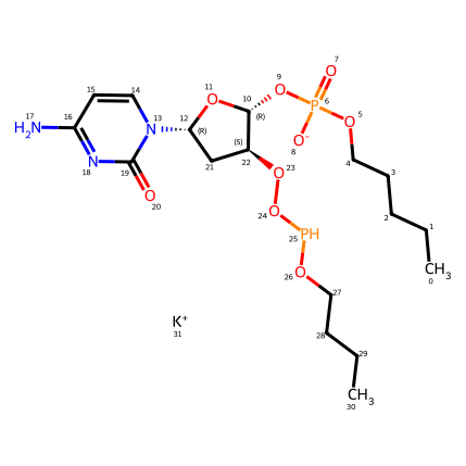 CCCCCOP(=O)([O-])O[C@H]1O[C@@H](n2ccc(N)nc2=O)C[C@@H]1OOPOCCCC.[K+]